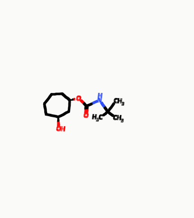 CC(C)(C)NC(=O)O[C@H]1CCCC[C@H](O)C1